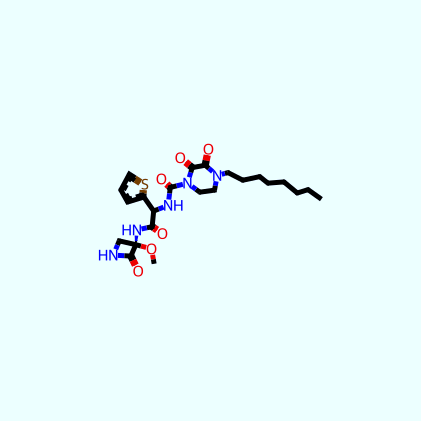 CCCCCCCCN1CCN(C(=O)NC(C(=O)N[C@]2(OC)CNC2=O)c2cccs2)C(=O)C1=O